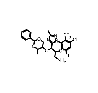 Cc1nc(C(OC2COC(c3ccccc3)OC2C)[C@@H](O)CN)n(-c2cc(Cl)cc(Cl)c2C(F)(F)F)n1